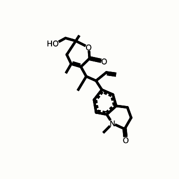 C=CC(c1ccc2c(c1)CCC(=O)N2C)C(C)C1=C(C)CC(C)(CO)OC1=O